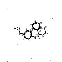 N#Cc1ccc(CO)cc1-c1cccc2c1CCCC2